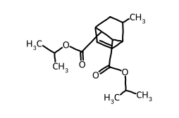 CC(C)OC(=O)C1C2C=CC(C(C)C2)C1C(=O)OC(C)C